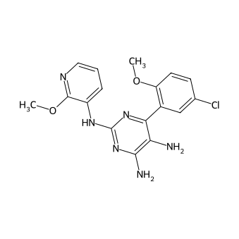 COc1ccc(Cl)cc1-c1nc(Nc2cccnc2OC)nc(N)c1N